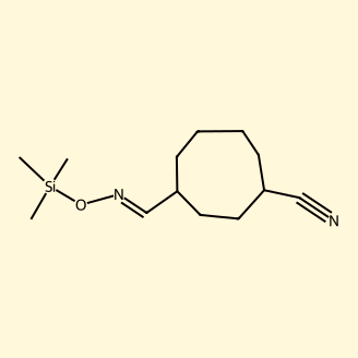 C[Si](C)(C)O/N=C/C1CCCCC(C#N)CC1